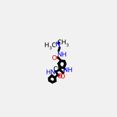 CN(C)CCNC(=O)c1ccc2c(c1)C(C1(C)Nc3ccccc3C1=O)C(=O)N2